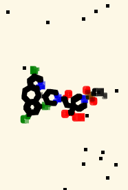 CS(=O)(=O)N1C=CC(CC(=O)N2CCC([C@H]3c4ncc(Br)cc4CCc4cc(Cl)cc(Br)c43)CC2)(C(=O)O)C=C1